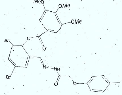 COc1cc(C(=O)Oc2c(Br)cc(Br)cc2/C=N/NC(=O)COc2ccc(C)cc2)cc(OC)c1OC